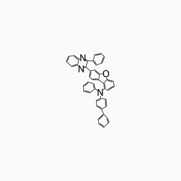 c1ccc(-c2ccc(N(c3ccccc3)c3cccc4oc5cc(-c6nc7ccccc7nc6-c6ccccc6)ccc5c34)cc2)cc1